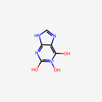 Oc1nc2[nH]cnc2c(O)[n+]1O